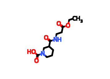 CCOC(=O)CCNC(=O)C1CCCN(C(=O)O)C1